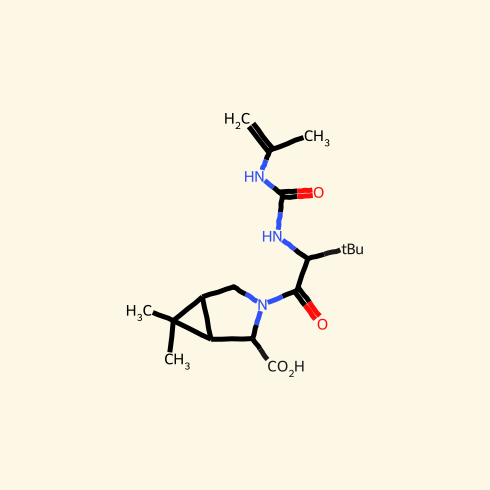 C=C(C)NC(=O)NC(C(=O)N1CC2C(C1C(=O)O)C2(C)C)C(C)(C)C